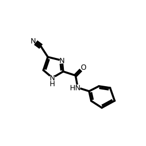 N#Cc1c[nH]c(C(=O)Nc2ccccc2)n1